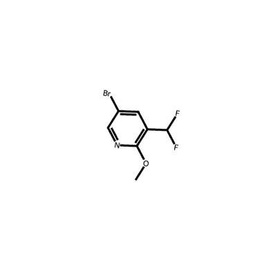 COc1ncc(Br)cc1C(F)F